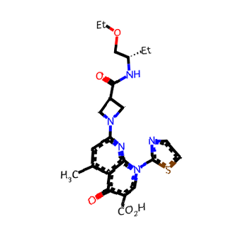 CCOC[C@H](CC)NC(=O)C1CN(c2cc(C)c3c(=O)c(C(=O)O)cn(-c4nccs4)c3n2)C1